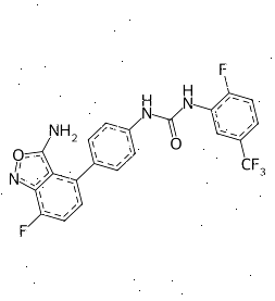 Nc1onc2c(F)ccc(-c3ccc(NC(=O)Nc4cc(C(F)(F)F)ccc4F)cc3)c12